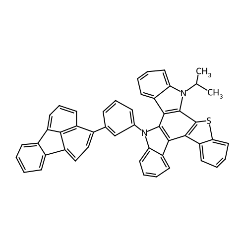 CC(C)n1c2ccccc2c2c3c(c4ccccc4n3-c3cccc(-c4ccc5c6c(cccc46)-c4ccccc4-5)c3)c3c4ccccc4sc3c21